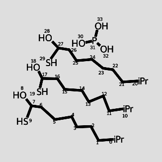 CC(C)CCCCCCC(O)S.CC(C)CCCCCCC(O)S.CC(C)CCCCCCC(O)S.OP(O)O